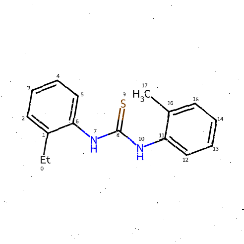 CCc1ccccc1NC(=S)Nc1ccccc1C